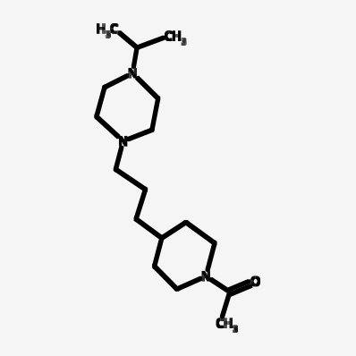 CC(=O)N1CCC(CCCN2CCN(C(C)C)CC2)CC1